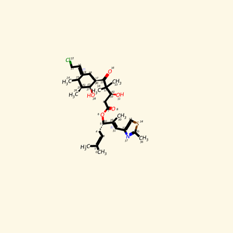 CC(C)=CC[C@H](OC(=O)C[C@H](O)C(C)(C)C(=O)[C@@H]1C/C(=C/CCl)C(C)[C@H](C)[C@@H]1O)/C(C)=C/c1csc(C)n1